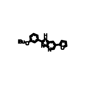 CCC(C)Oc1cccc(-c2nc3ncc(-c4ccco4)cc3[nH]2)c1